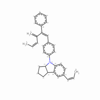 C=C(/C=C\C)/C(=C\c1ccc(N2c3ccc(/C=C\C)cc3C3CCCC32)cc1)c1ccccc1